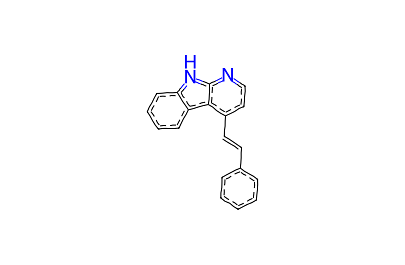 C(=Cc1ccnc2[nH]c3ccccc3c12)c1ccccc1